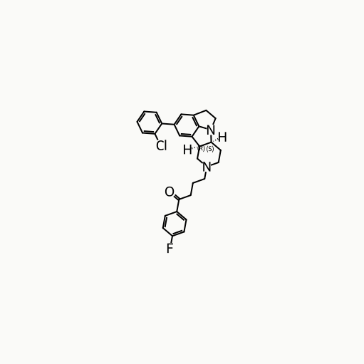 O=C(CCCN1CC[C@H]2[C@@H](C1)c1cc(-c3ccccc3Cl)cc3c1N2CC3)c1ccc(F)cc1